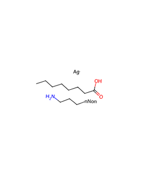 CCCCCCCC(=O)O.CCCCCCCCCCCCN.[Ag]